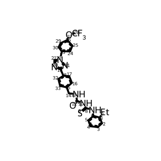 CCc1ccccc1NC(=S)NC(=O)NCc1ccc(-c2ncn(-c3ccc(OC(F)(F)F)cc3)n2)cc1